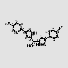 OC(c1cc(-c2ccc(F)cn2)n[nH]1)c1cc(-c2ccc(F)cn2)n[nH]1